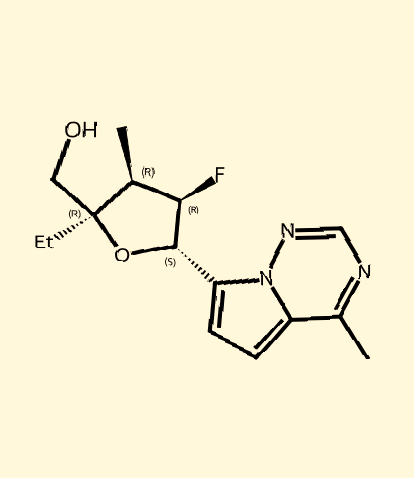 CC[C@@]1(CO)O[C@@H](c2ccc3c(C)ncnn23)[C@H](F)[C@@H]1C